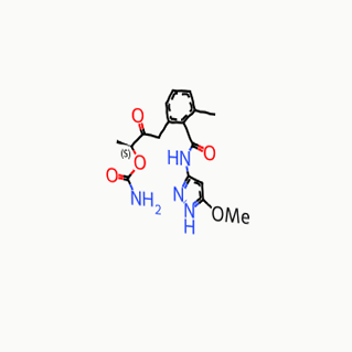 COc1cc(NC(=O)c2c(C)cccc2CC(=O)[C@H](C)OC(N)=O)n[nH]1